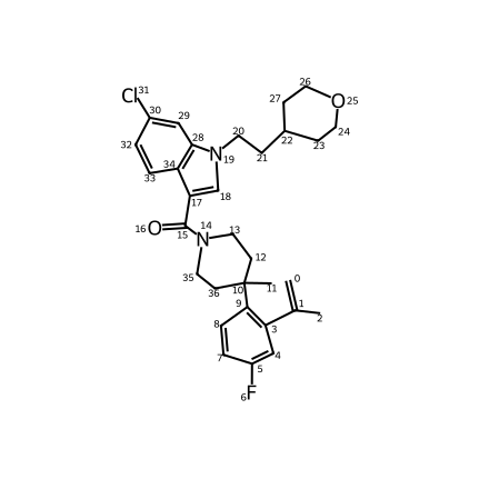 C=C(C)c1cc(F)ccc1C1(C)CCN(C(=O)c2cn(CCC3CCOCC3)c3cc(Cl)ccc23)CC1